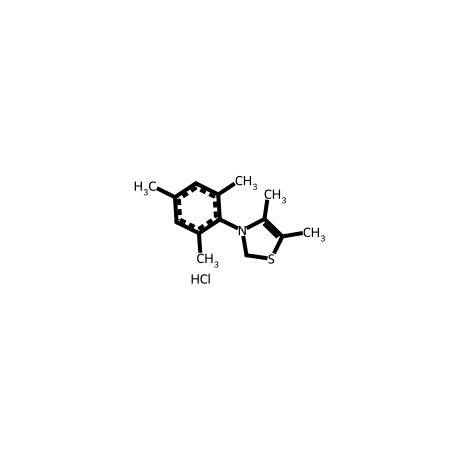 CC1=C(C)N(c2c(C)cc(C)cc2C)CS1.Cl